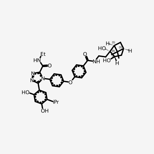 CCNC(=O)c1nnc(-c2cc(C(C)C)c(O)cc2O)n1-c1ccc(Oc2ccc(C(=O)NCC[C@]3(O)[C@@H](O)C[C@@H]4C[C@H]3C4(C)C)cc2)cc1